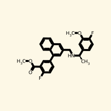 COC(=O)c1cc(-c2cc(CN[C@H](C)c3ccc(F)c(OC)c3)cc3ccccc23)ccc1F